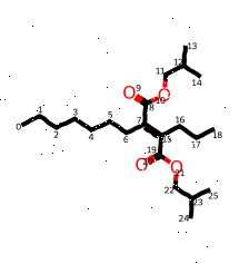 CCCCCCCC(C(=O)OCC(C)C)=C(CCC)C(=O)OCC(C)C